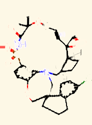 CC1(C)OC/C=C/C2(CO2)[C@@H]2CC[C@H]2CN2C[C@@]3(CCCc4cc(Cl)ccc43)COc3ccc(cc32)S(=O)(=O)NC1=O